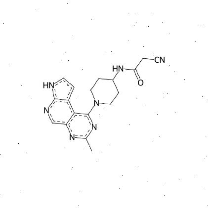 Cc1nc(N2CCC(NC(=O)CC#N)CC2)c2c(cnc3[nH]ccc32)n1